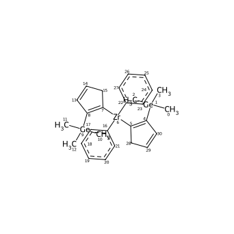 [CH3][Ge]([CH3])([CH3])[C]1=[C]([Zr]([C]2=[C]([Ge]([CH3])([CH3])[CH3])C=CC2)([c]2ccccc2)[c]2ccccc2)CC=C1